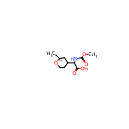 COC(=O)NC(C(=O)O)C1CCO[C@@H](C)C1